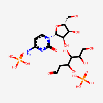 Nc1ccn([C@@H]2O[C@H](CO)[C@@H](O)[C@H]2O)c(=O)n1.O=CCC(O)C(O)C(O)CO.O=P(O)(O)O.O=P(O)(O)O